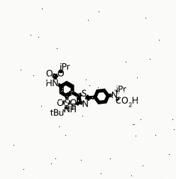 CC(C)OC(=O)Nc1ccc(-c2sc(C3CCC(N(C(=O)O)C(C)C)CC3)nc2F)c(S(=O)(=O)NC(C)(C)C)c1